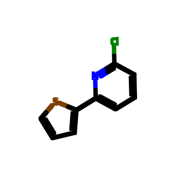 Clc1cccc(-c2cccs2)n1